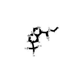 CCOC(=O)c1ncn2ncc(C(F)(F)F)cc12